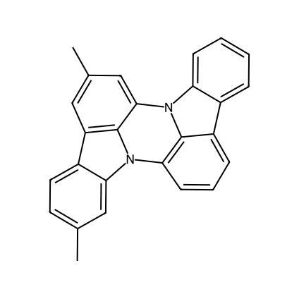 Cc1ccc2c3cc(C)cc4c3n(c2c1)c1cccc2c3ccccc3n4c21